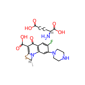 C[C@@H]1Sc2c(C(=O)O)c(=O)c3cc(F)c(N4CCNCC4)cc3n21.N[C@@H](CCC(=O)O)C(=O)O